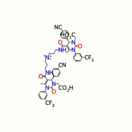 CC1=C(C(=O)NCCC[N+](C)(C)CCCNC(=O)C2=C(C)N(c3cccc(C(F)(F)F)c3)C(=O)N(CC(=O)O)[C@@H]2c2ccc(C#N)cc2)[C@@H](c2ccc(C#N)cc2)N(CC(=O)O)C(=O)N1c1cccc(C(F)(F)F)c1